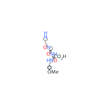 COc1ccc(CCNC(=O)[C@H](CNC(=O)[C@@H]2CCCN(C(=O)CCC3CCNCC3)C2)C(=O)O)cc1